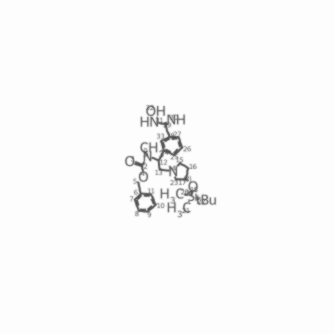 CN(C(=O)OCc1ccccc1)C(CN1CC[C@@H](O[Si](C)(C)C(C)(C)C)C1)c1cccc(C(=N)NO)c1